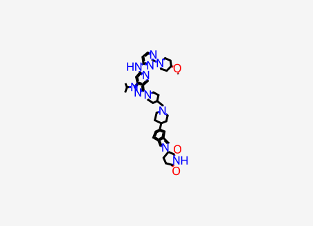 COC1CCN(c2nccc(Nc3cc4c(cn3)c(N3CCC(CN5CCC(c6ccc7cn(C8CCC(=O)NC8=O)cc7c6)CC5)CC3)nn4C(C)C)n2)CC1